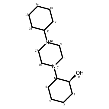 O[C@H]1CCCCC1N1CCN(C2CCCCC2)CC1